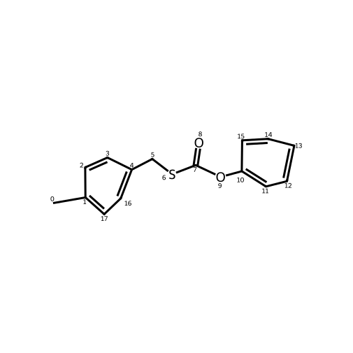 Cc1ccc(CSC(=O)Oc2ccccc2)cc1